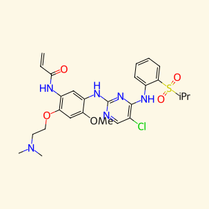 C=CC(=O)Nc1cc(Nc2ncc(Cl)c(Nc3ccccc3S(=O)(=O)C(C)C)n2)c(OC)cc1OCCN(C)C